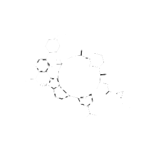 CCn1c(-c2cc(C3CCN(C)CC3)cnc2[C@H](C)OC)c2c3cc(ccc31)-c1cc(C(F)F)cc(n1)C[C@H](NC(=O)[C@H]1C[C@@H]1C)C(=O)N1CCC[C@H](N1)C(=O)OCC(C)(C)C2